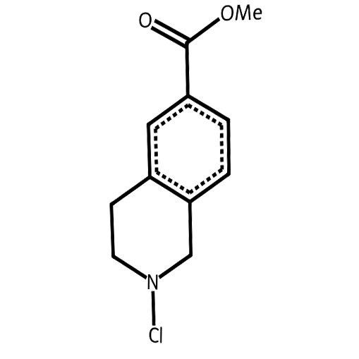 COC(=O)c1ccc2c(c1)CCN(Cl)C2